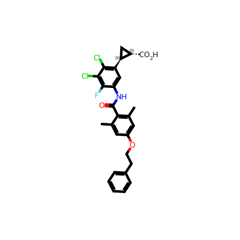 Cc1cc(OCCc2ccccc2)cc(C)c1C(=O)Nc1cc([C@H]2C[C@@H]2C(=O)O)c(Cl)c(Cl)c1F